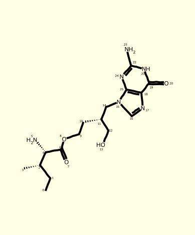 CC[C@H](C)[C@H](N)C(=O)OCC[C@@H](CO)Cn1cnc2c(=O)[nH]c(N)nc21